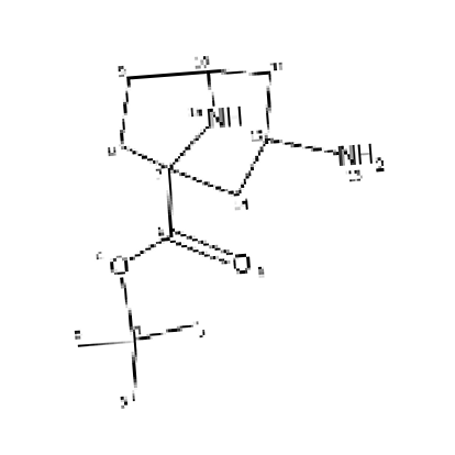 CC(C)(C)OC(=O)C12CCC(CC(N)C1)N2